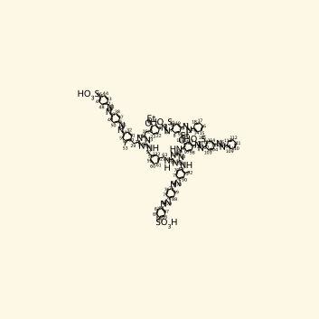 CCOc1cc(N=Nc2ccc(N=Nc3ccccc3)cc2S(=O)(=O)O)ccc1Cc1nc(Cc2ccc(N=Nc3ccc(N=Nc4ccc(S(=O)(=O)O)cc4)cc3)cc2C)nc(NCc2cccc(CNc3nc(Nc4ccc(N=Nc5ccc(N=Nc6ccc(S(=O)(=O)O)cc6)cc5)cc4C)nc(Nc4ccc(N=Nc5ccc(N=Nc6ccccc6)cc5S(=O)(=O)O)cc4OCC)n3)c2)n1